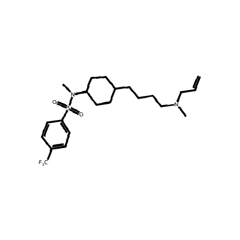 C=CCN(C)CCCCC1CCC(N(C)S(=O)(=O)c2ccc(C(F)(F)F)cc2)CC1